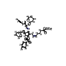 CC#CCC(C)[C@@H](/C=C/[C@@H]1[C@@H](C/C=C\CCCC(=O)OC)[C@H](OS(=O)(=O)c2ccc(C)cc2)C[C@H]1OC1CCCCO1)OC1CCCCO1